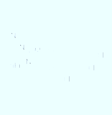 CCCN(CCOc1c(Cl)cc(C=C(Cl)Cl)cc1Cl)C(=O)n1ccnc1